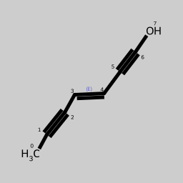 CC#C/C=C/C#CO